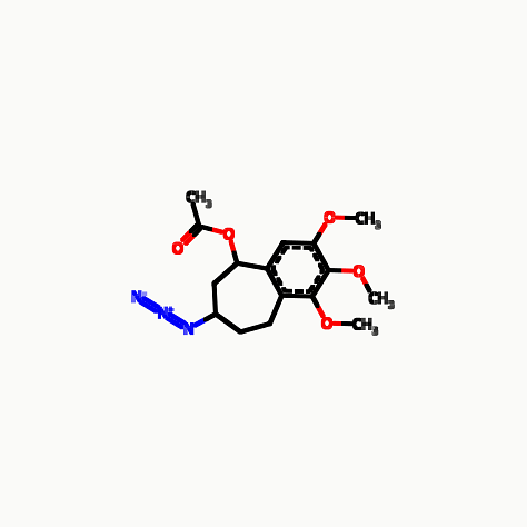 COc1cc2c(c(OC)c1OC)CCC(N=[N+]=[N-])CC2OC(C)=O